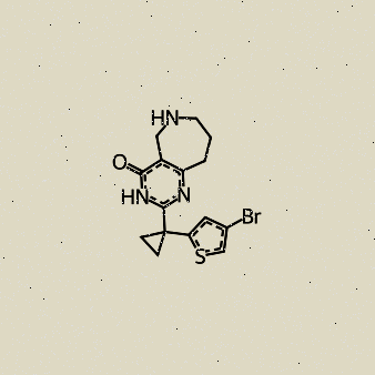 O=c1[nH]c(C2(c3cc(Br)cs3)CC2)nc2c1CNCCC2